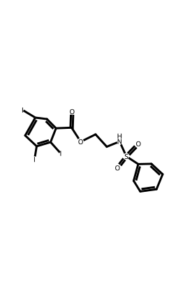 O=C(OCCNS(=O)(=O)c1ccccc1)c1cc(I)cc(I)c1I